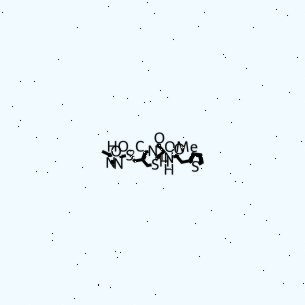 COC1(NC(=O)Cc2cccs2)C(=O)N2C(C(=O)O)=C(CSc3nnc(C)o3)CS[C@@H]21